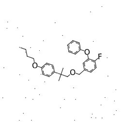 CCCCOc1ccc(C(C)(C)COCc2ccc(F)c(Oc3ccccc3)c2)cc1